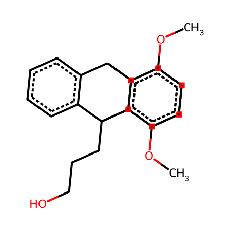 COc1ccc(OC)c2c1C1c3ccccc3C2(CCCO)c2ccccc21